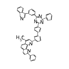 Cc1cc(-c2cccc(-c3ccc(-c4nc(-c5ccccc5)nc(-c5cccc(-c6cncc7ccccc67)c5)n4)cc3)c2)nc2c1ccc1ccc(-c3ccccc3)nc12